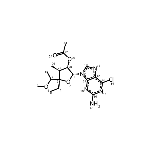 CC[C@]1(C(C)OC)O[C@@H](n2cnc3c(Cl)nc(N)nc32)[C@H](OC(C)=O)[C@@H]1C